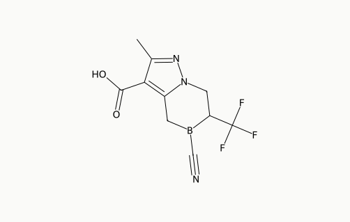 Cc1nn2c(c1C(=O)O)CB(C#N)C(C(F)(F)F)C2